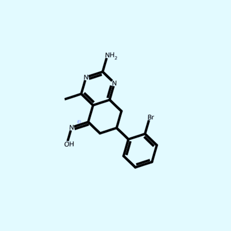 Cc1nc(N)nc2c1/C(=N/O)CC(c1ccccc1Br)C2